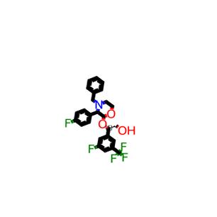 OC[C@@H](OC1OCCN(Cc2ccccc2)C1c1ccc(F)cc1)c1cc(F)cc(C(F)(F)F)c1